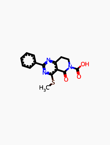 CSc1nc(-c2ccccc2)nc2c1C(=O)N(C(=O)O)CC2